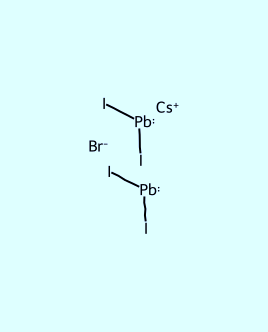 [Br-].[Cs+].[I][Pb][I].[I][Pb][I]